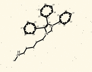 CNCCCCCN1CN(c2ccccc2)C(c2ccccc2)=C1c1ccccc1